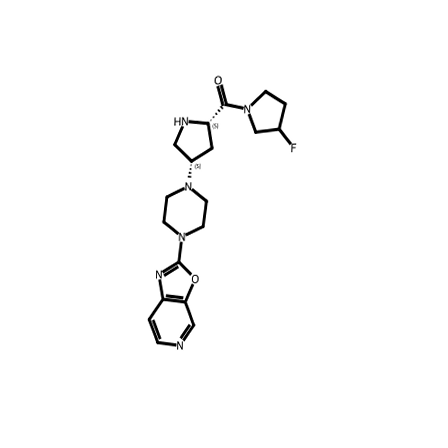 O=C([C@@H]1C[C@H](N2CCN(c3nc4ccncc4o3)CC2)CN1)N1CCC(F)C1